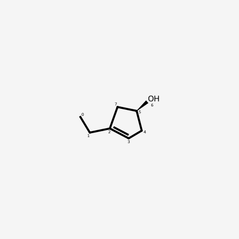 CCC1=CC[C@H](O)C1